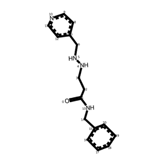 O=C(CCNNCc1ccncc1)NCc1ccccc1